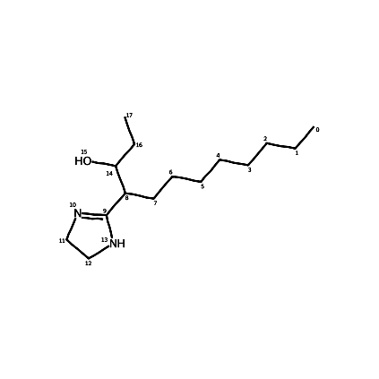 CCCCCCCCC(C1=NCCN1)C(O)CC